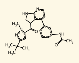 CC(=O)Nc1cccc(-c2ccnc3c2C(C(=O)c2cc(C(C)(C)C)nn2C)CN3)c1